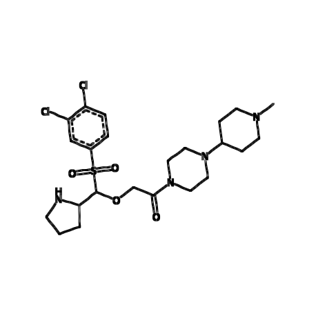 CN1CCC(N2CCN(C(=O)COC(C3CCCN3)S(=O)(=O)c3ccc(Cl)c(Cl)c3)CC2)CC1